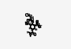 CN(C)C(=O)c1cc(Br)c(NC(=O)CCl)c([N+](=O)[O-])c1